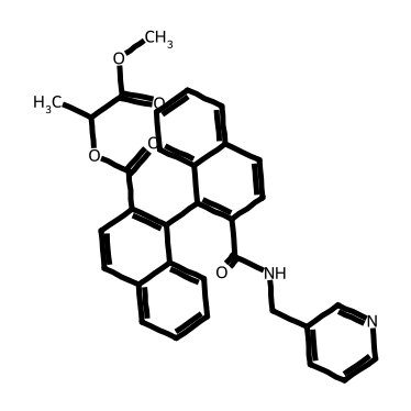 COC(=O)C(C)OC(=O)c1ccc2ccccc2c1-c1c(C(=O)NCc2cccnc2)ccc2ccccc12